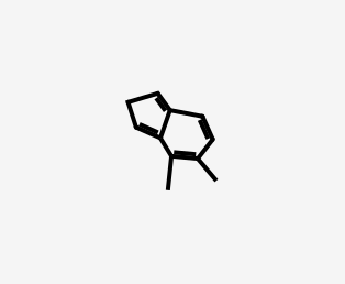 Cc1ccc2c(c1C)=CCC=2